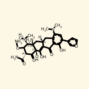 CN(C)c1cc(-c2ccoc2)c(O)c2c1C[C@H]1C[C@@]3(N)[C@H](N(C)C)C(ON)[C@@H](C(N)=O)C(=O)[C@@]3(O)C(O)=C1C2=O